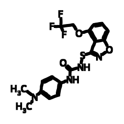 CN(C)c1ccc(NC(=O)NSc2noc3cccc(OCC(F)(F)F)c23)cc1